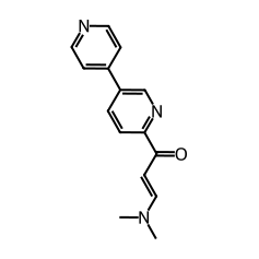 CN(C)C=CC(=O)c1ccc(-c2ccncc2)cn1